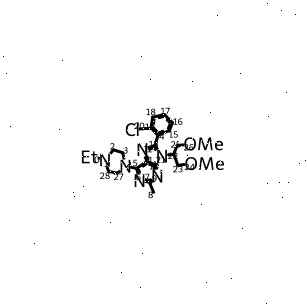 CCN1CCN(c2nc(C)nc3c2nc(-c2ccccc2Cl)n3C(COC)COC)CC1